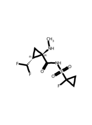 CN[C@]1(C(=O)NS(=O)(=O)C2(F)CC2)C[C@H]1C(F)F